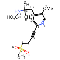 COc1cnc(C#CCCS(C)(=O)=O)cc1CC(C)(C)NC(=O)O